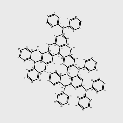 c1ccc(N(c2ccccc2)c2cc3c4c(c2)Oc2c(cc5c6c2Oc2ccccc2N6c2ccccc2O5)B4c2cc4c(cc2O3)N(c2ccccc2)c2cc(N(c3ccccc3)c3ccccc3)cc3c2B4c2ccccc2N3c2ccccc2)cc1